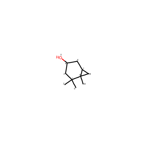 CC1(C)CC(O)CC2CC21C